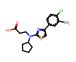 Cc1cc(-c2csc(N(CCC(=O)O)C3CCCC3)n2)ccc1Cl